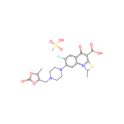 CS(=O)(=O)O.Cc1oc(=O)oc1CN1CCN(c2cc3c(cc2F)c(=O)c(C(=O)O)c2n3C(C)S2)CC1